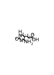 Nc1nc(=O)[nH]cc1/C=C/C(=O)O